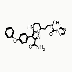 CN(CCC1CCNc2c(-c3ccc(Oc4ccccc4)cc3)c(C(N)=O)nn21)C(=O)n1cncn1